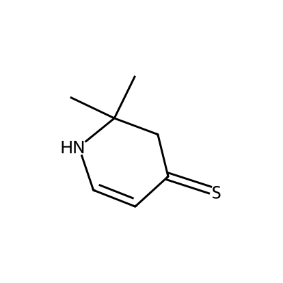 CC1(C)CC(=S)C=CN1